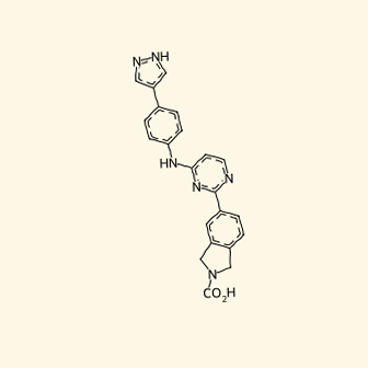 O=C(O)N1Cc2ccc(-c3nccc(Nc4ccc(-c5cn[nH]c5)cc4)n3)cc2C1